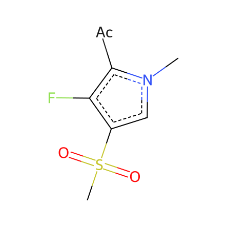 CC(=O)c1c(F)c(S(C)(=O)=O)cn1C